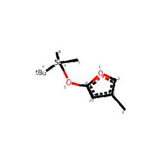 Cc1coc(O[Si](C)(C)C(C)(C)C)c1